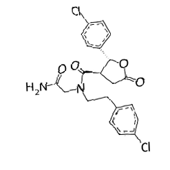 NC(=O)CN(CCc1ccc(Cl)cc1)C(=O)[C@@H]1CC(=O)O[C@H]1c1ccc(Cl)cc1